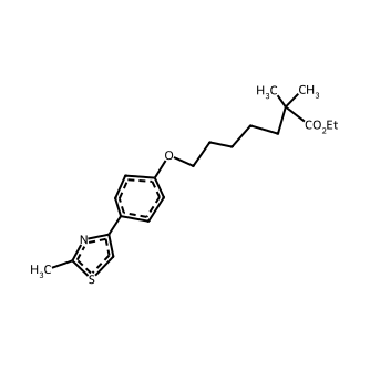 CCOC(=O)C(C)(C)CCCCCOc1ccc(-c2csc(C)n2)cc1